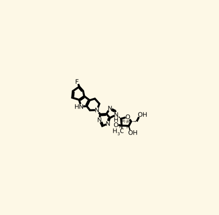 C[C@@]1(O)[C@H](O)[C@@H](CO)O[C@H]1n1cnc2c(N3CCc4c([nH]c5ccc(F)cc45)C3)ncnc21